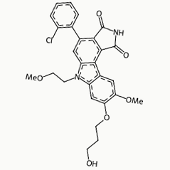 COCCn1c2cc(OCCCO)c(OC)cc2c2c3c(c(-c4ccccc4Cl)cc21)C(=O)NC3=O